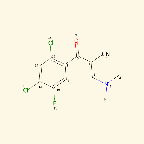 CN(C)C=C(C#N)C(=O)c1cc(F)c(Cl)cc1Cl